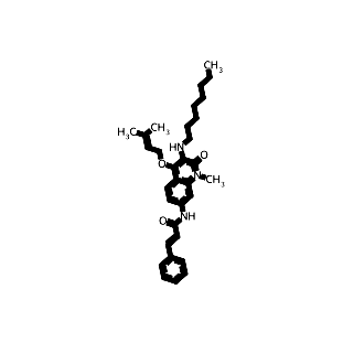 CCCCCCCCNc1c(OCC=C(C)C)c2ccc(NC(=O)/C=C/c3ccccc3)cc2n(C)c1=O